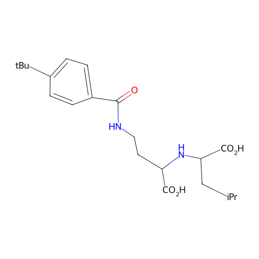 CC(C)CC(NC(CCNC(=O)c1ccc(C(C)(C)C)cc1)C(=O)O)C(=O)O